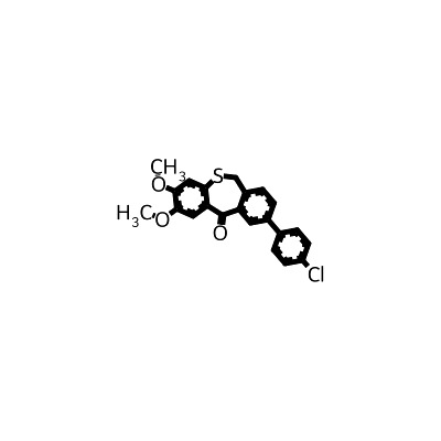 COc1cc2c(cc1OC)C(=O)c1cc(-c3ccc(Cl)cc3)ccc1CS2